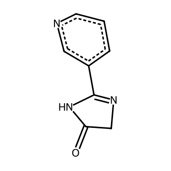 O=C1CN=C(c2cccnc2)N1